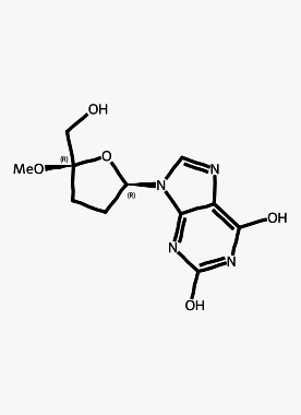 CO[C@]1(CO)CC[C@H](n2cnc3c(O)nc(O)nc32)O1